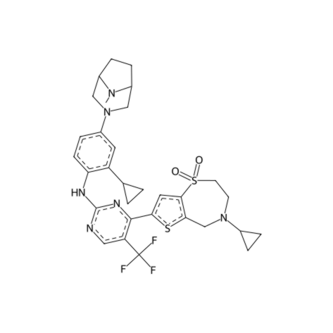 CN1C2CCC1CN(c1ccc(Nc3ncc(C(F)(F)F)c(-c4cc5c(s4)CN(C4CC4)CCS5(=O)=O)n3)c(C3CC3)c1)C2